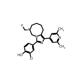 Cc1cc(-c2nc(-c3ccc(O)c(Cl)c3)n3c2CCCC[C@H](CF)C3)cc(C)n1